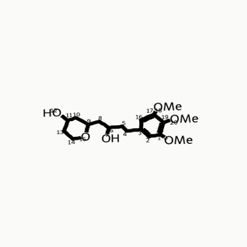 COc1cc(CCC(O)CC2CC(O)CCO2)cc(OC)c1OC